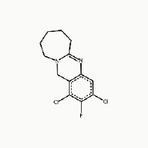 Fc1c(Cl)cc2c(c1Cl)CN1CCCCCC1=N2